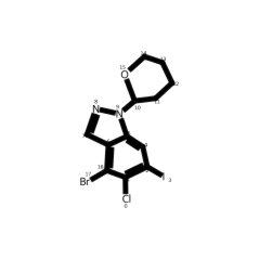 Clc1c(I)cc2c(cnn2C2CCCCO2)c1Br